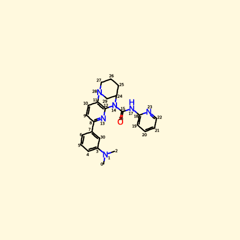 CN(C)c1cccc(-c2ccc3c(n2)N(C(=O)Nc2ccccn2)C2CCCN3C2)c1